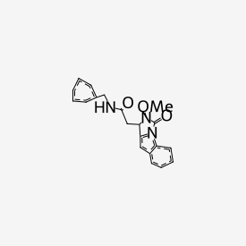 CON1C(=O)n2c(cc3ccccc32)C1CC(=O)NCc1ccccc1